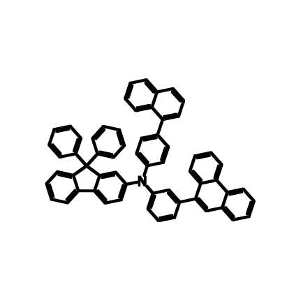 c1ccc(C2(c3ccccc3)c3ccccc3-c3ccc(N(c4ccc(-c5cccc6ccccc56)cc4)c4cccc(-c5cc6ccccc6c6ccccc56)c4)cc32)cc1